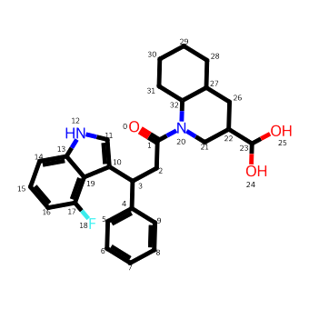 O=C(CC(c1ccccc1)c1c[nH]c2cccc(F)c12)N1CC(C(O)O)CC2CCCCC21